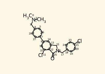 CN(C)Cc1ccc(-c2cc(Cl)c3c(c2)CN(Cc2ccc(Cl)cc2)C3=O)cc1